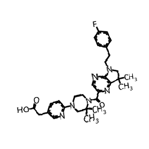 CC1(C)CN(CCc2ccc(F)cc2)c2ncc(C(=O)N3CCN(c4ccc(CC(=O)O)cn4)CC3(C)C)nc21